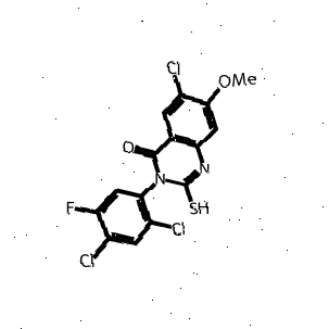 COc1cc2nc(S)n(-c3cc(F)c(Cl)cc3Cl)c(=O)c2cc1Cl